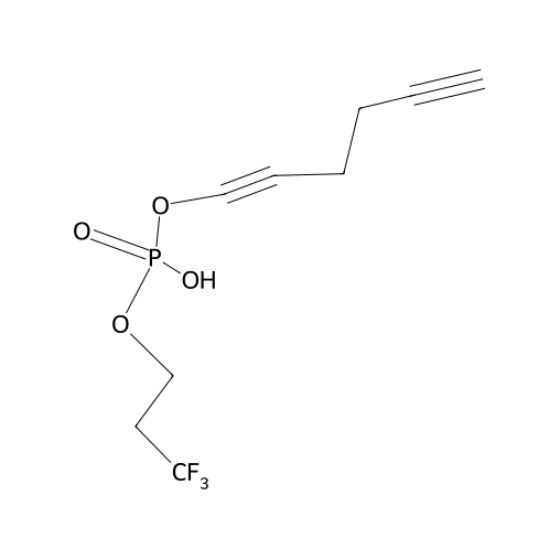 C#CCCC#COP(=O)(O)OCCC(F)(F)F